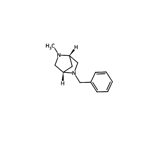 CN1C[C@@H]2C[C@H]1CN2Cc1ccccc1